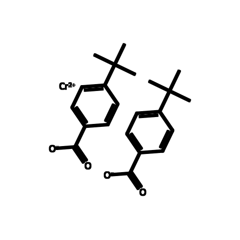 CC(C)(C)c1ccc(C(=O)[O-])cc1.CC(C)(C)c1ccc(C(=O)[O-])cc1.[Cr+2]